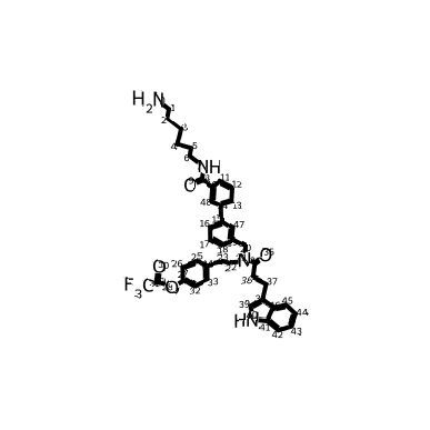 NCCCCCCNC(=O)c1cccc(-c2cccc(CN(CCc3ccc(OC(=O)C(F)(F)F)cc3)C(=O)CCc3c[nH]c4ccccc34)c2)c1